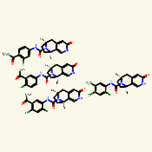 COC(=O)c1cc(NC(=O)N2[C@H]3CC[C@@H]2c2c[nH]c(=O)cc2C3)c(F)cc1Cl.COC(=O)c1cc(NC(=O)N2[C@H]3CC[C@@H]2c2c[nH]c(=O)cc2C3)ccc1Cl.COC(=O)c1ccc(NC(=O)N2[C@H]3CC[C@@H]2c2c[nH]c(=O)cc2C3)cc1Cl.O=C(Nc1cc(C(F)(F)F)c(Cl)cc1F)N1[C@H]2CC[C@@H]1c1c[nH]c(=O)cc1C2